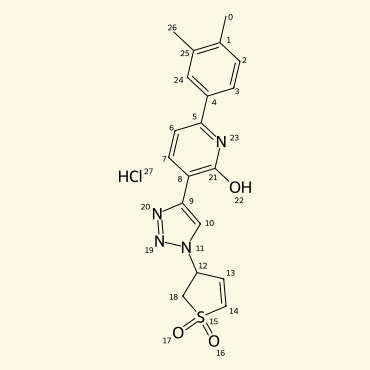 Cc1ccc(-c2ccc(-c3cn(C4C=CS(=O)(=O)C4)nn3)c(O)n2)cc1C.Cl